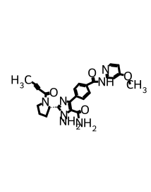 CC#CC(=O)N1CCC[C@H]1c1nc(-c2ccc(C(=O)Nc3cc(OC)ccn3)cc2)c(C(N)=O)n1N